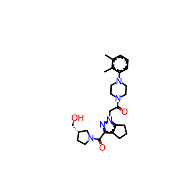 Cc1cccc(N2CCN(C(=O)Cn3nc(C(=O)N4CC[C@H](CO)C4)c4c3CCC4)CC2)c1C